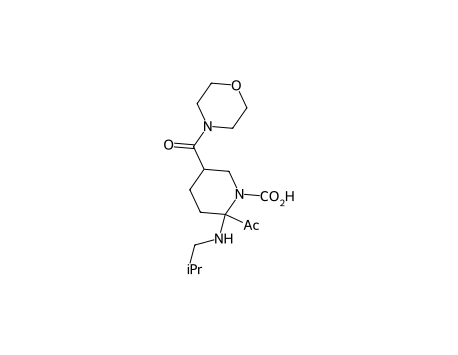 CC(=O)C1(NCC(C)C)CCC(C(=O)N2CCOCC2)CN1C(=O)O